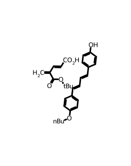 C=C(C=CC(=O)O)C(=O)OC(C)(C)C.CCCCOc1ccc(C=CC=Cc2ccc(O)cc2)cc1